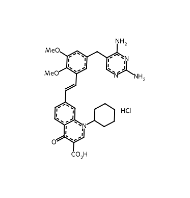 COc1cc(Cc2cnc(N)nc2N)cc(C=Cc2ccc3c(=O)c(C(=O)O)cn(C4CCCCC4)c3c2)c1OC.Cl